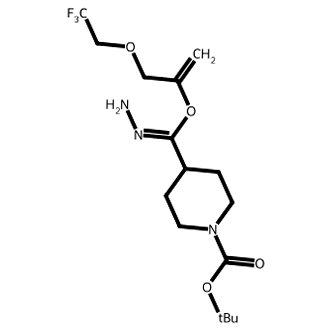 C=C(COCC(F)(F)F)O/C(=N\N)C1CCN(C(=O)OC(C)(C)C)CC1